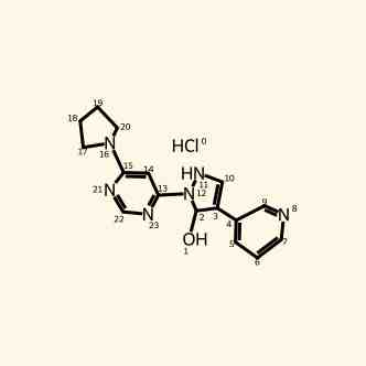 Cl.OC1C(c2cccnc2)=CNN1c1cc(N2CCCC2)ncn1